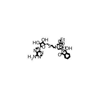 CCOP(=O)(CN(CCSC[C@H]1O[C@@H](n2cnc3c(N)ncnc32)C(O)C1O)CCN1C(=O)c2ccccc2C1O)OCC